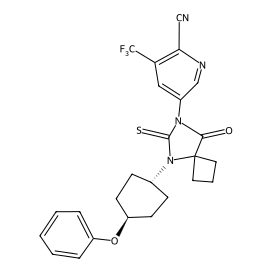 N#Cc1ncc(N2C(=O)C3(CCC3)N([C@H]3CC[C@H](Oc4ccccc4)CC3)C2=S)cc1C(F)(F)F